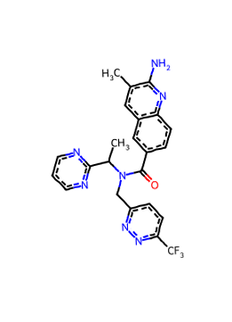 Cc1cc2cc(C(=O)N(Cc3ccc(C(F)(F)F)nn3)C(C)c3ncccn3)ccc2nc1N